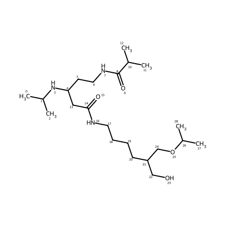 CC(C)NC(CCNC(=O)C(C)C)CC(=O)NCCCCC(CO)COC(C)C